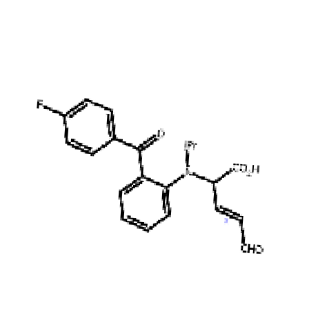 CC(C)N(c1ccccc1C(=O)c1ccc(F)cc1)C(/C=C/C=O)C(=O)O